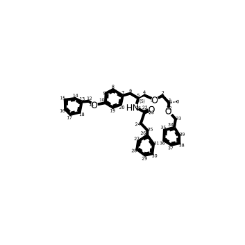 C[C@@H](COC[C@H](Cc1ccc(OCc2ccccc2)cc1)NC(=O)CCc1ccccc1)OCc1ccccc1